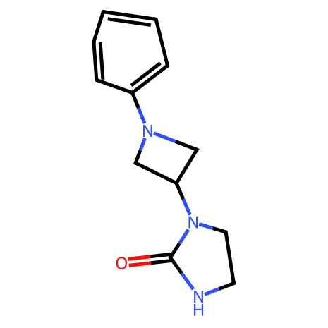 O=C1NCCN1C1CN(c2ccccc2)C1